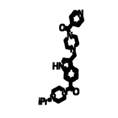 CC(C)N1CCN(C(=O)c2ccc3c(CN4CCN(C(=O)c5ccncc5)CC4)c[nH]c3c2)CC1